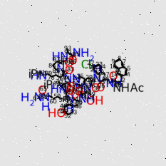 CC(=O)N[C@H](Cc1ccc2ccccc2c1)C(=O)N[C@@H](Cc1ccc(Cl)cc1)C(=O)N[C@H](Cc1cccnc1)C(=O)N[C@@H](CO)C(=O)N[C@@H](Cc1ccc(O)cc1)C(=O)N[C@H](CCCCNC(N)=O)C(=O)N[C@@H](CC(C)C)C(=O)N[C@@H](CCCCNC(C)C)C(=O)N1CCC[C@@H]1C(=O)NC(C)C(N)=O